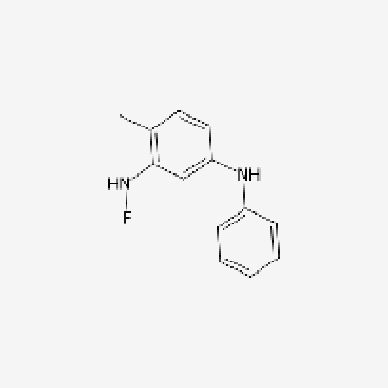 Cc1ccc(Nc2ccccc2)cc1NF